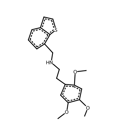 COc1cc(OC)c(OC)cc1CCNCc1cccc2ccsc12